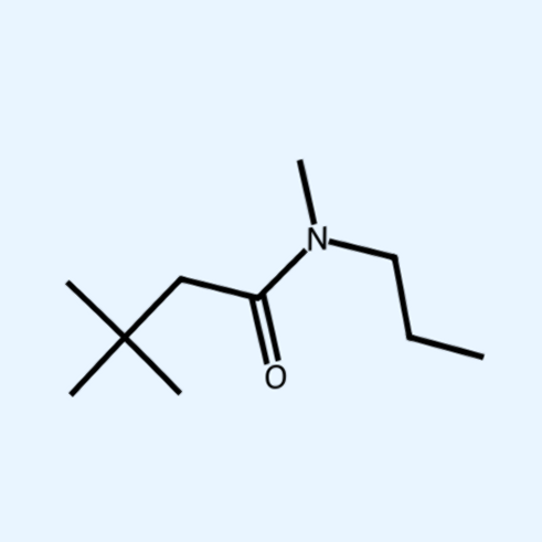 CCCN(C)C(=O)CC(C)(C)C